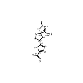 CCC[C@@]1(C(=O)O)CC[C@H](c2ccc(C(C)=O)s2)C1